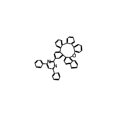 c1ccc(-c2cc(-c3ccccc3)nc(-c3ccc4c(c3)-c3ccc5ccccc5c3Oc3ccccc3-c3ccccc3-c3ccccc3-4)n2)cc1